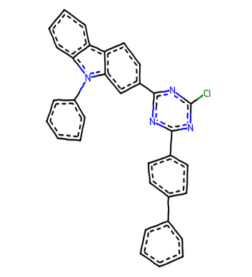 Clc1nc(-c2ccc(-c3ccccc3)cc2)nc(-c2ccc3c4ccccc4n(-c4ccccc4)c3c2)n1